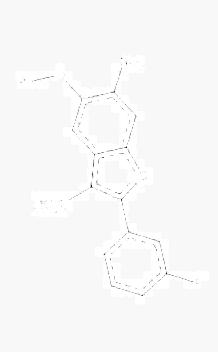 CCOC(=O)c1c(-c2cccc(F)c2)oc2cc([N+](=O)[O-])c(OC(C)C)cc12